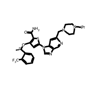 CC(C)N1CCN(Cc2cc3c(cn2)ncn3-c2cc(O[C@H](C)c3ccccc3C(F)(F)F)c(C(N)=O)s2)CC1